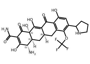 NC(=O)C1=C(O)[C@@H](N)[C@@H]2C[C@@H]3Cc4c(OC(F)(F)F)c(C5CCCN5)cc(O)c4C(=O)C3=C(O)[C@]2(O)C1=O